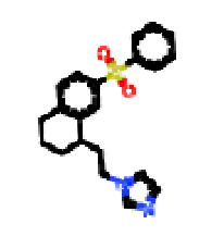 O=S(=O)(c1ccccc1)c1ccc2c(c1)C(CCn1ccnc1)CCC2